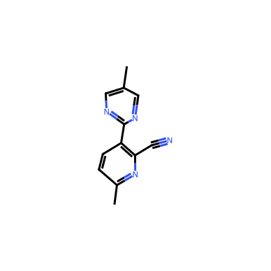 Cc1cnc(-c2ccc(C)nc2C#N)nc1